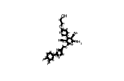 N#Cc1c(N)nc(SCc2csc(-c3ccc(F)c(F)c3)n2)c(C#N)c1-c1ccc(OCCO)nc1